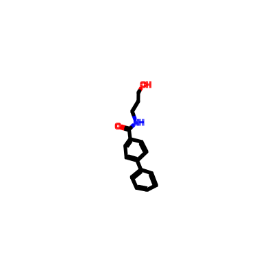 O=C(NCCCO)c1ccc(-c2ccccc2)cc1